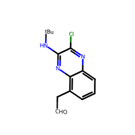 CC(C)(C)Nc1nc2c(CC=O)cccc2nc1Cl